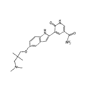 CN(C)CC(C)(C)COc1ccc2[nH]c(-c3cc(C(N)=O)c[nH]c3=O)cc2c1